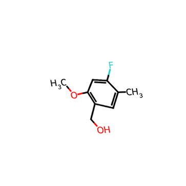 COc1cc(F)c(C)cc1CO